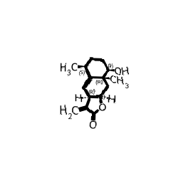 C=C1C(=O)O[C@@H]2C[C@]3(C)C(=C[C@H]12)[C@@H](C)CC[C@H]3O